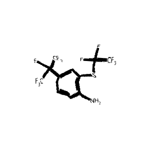 Nc1ccc(C(F)(C(F)(F)F)C(F)(F)F)cc1SC(F)(F)C(F)(F)F